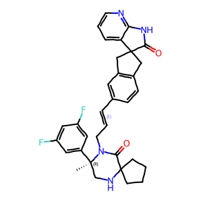 C[C@@]1(c2cc(F)cc(F)c2)CNC2(CCCC2)C(=O)N1C/C=C/c1ccc2c(c1)CC1(C2)C(=O)Nc2ncccc21